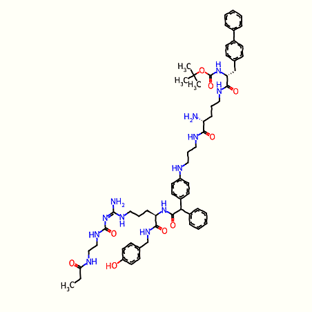 CCC(=O)NCCNC(=O)/N=C(/N)NCCC[C@@H](NC(=O)C(c1ccccc1)c1ccc(NCCCNC(=O)[C@H](N)CCCNC(=O)[C@@H](Cc2ccc(-c3ccccc3)cc2)NC(=O)OC(C)(C)C)cc1)C(=O)NCc1ccc(O)cc1